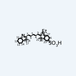 CCN1/C(=C/C=C/C=C/C2=Nc3ccccc3C2(C)C)C(C)(C)c2cc(S(=O)(=O)O)ccc21